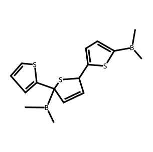 CB(C)c1ccc(C2C=CC(B(C)C)(c3cccs3)S2)s1